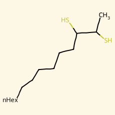 CCCCCCCCCCCCC(S)C(C)S